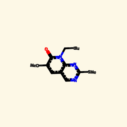 COc1cc2cnc(SC)nc2n(CC(C)(C)C)c1=O